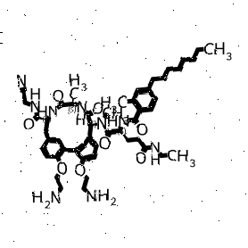 CCCCCCCCc1ccc(C(=O)N[C@@H](CCC(=O)NCC)C(=O)N(C)[C@@H]2C(=O)N[C@@H](C)C(=O)N[C@H](C(=O)NCC#N)Cc3ccc(OCCN)c(c3)-c3cc2ccc3OCCN)c(C)c1